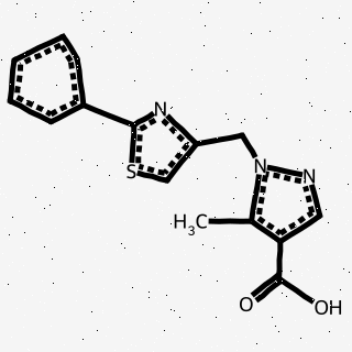 Cc1c(C(=O)O)cnn1Cc1csc(-c2ccccc2)n1